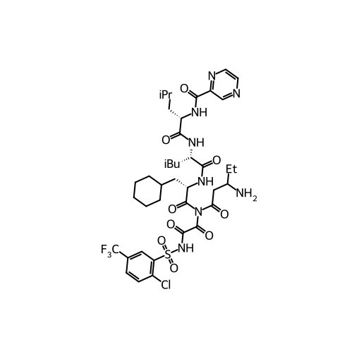 CCC(N)CC(=O)N(C(=O)C(=O)NS(=O)(=O)c1cc(C(F)(F)F)ccc1Cl)C(=O)[C@H](CC1CCCCC1)NC(=O)[C@@H](NC(=O)[C@H](CC(C)C)NC(=O)c1cnccn1)[C@@H](C)CC